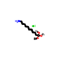 CCO[Si](CCCCCCCCCCN)(OCC)OCC.Cl